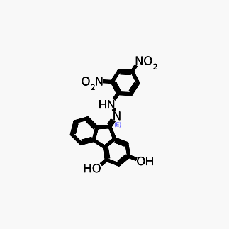 O=[N+]([O-])c1ccc(N/N=C2\c3ccccc3-c3c(O)cc(O)cc32)c([N+](=O)[O-])c1